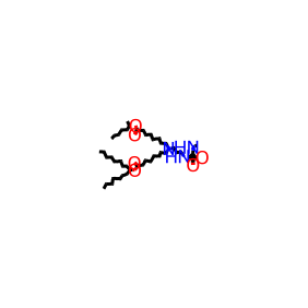 CCCCCCCCC(CCCCCCC)OC(=O)CCCCCCCN(CCCCCCCC(=O)OC(C)CCCCC)CCCNc1c(NC)c(=O)c1=O